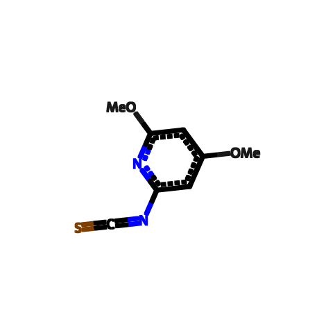 COc1cc(N=C=S)nc(OC)c1